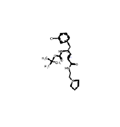 CC(C)(C)OC(=O)N[C@H](/C=C/C(=O)NCCN1CCCC1)Cc1cccc(Cl)c1